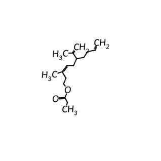 C=CCCC(CC=C(C)CCOC(=O)CC)C(=C)C